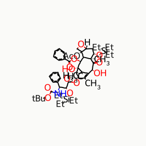 CC[Si](CC)(CC)O[C@H]1C[C@H]2OC[C@@]2(OC(C)=O)C2[C@H](OC(=O)c3ccccc3)[C@]3(O)C[C@H](OC(=O)[C@H](O[Si](CC)(CC)CC)[C@@H](NC(=O)OC(C)(C)C)c4ccccc4)C(C)=C([C@@H](O)C(=O)[C@@]21C)C3(C)C